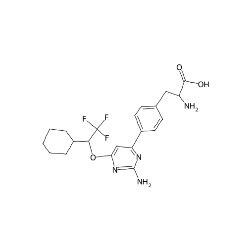 Nc1nc(OC(C2CCCCC2)C(F)(F)F)cc(-c2ccc(CC(N)C(=O)O)cc2)n1